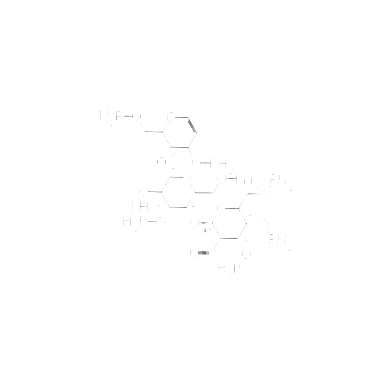 O=PC1[C@@H](O[C@H]2C(COP)O[C@@H](O[C@H]3C(OP)C=COC3COP)C(OP)[C@H]2OP)OC(COP)[C@H](OP)[C@@H]1OP